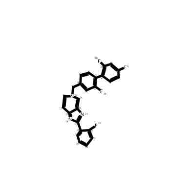 Fc1ccc(-c2ccc(Cn3ccc4nc(-c5ccccc5F)nc-4c3)cc2F)c(F)c1